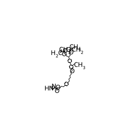 C=C(C)C(=O)OCCC(CCOC(=O)C(=C)C)c1ccc(-c2ccc(OCCCCCCc3ccc(CCCOC(=O)c4c[nH]cn4)cc3)cc2CC)cc1